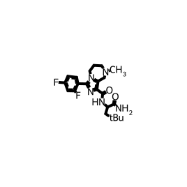 CN1CCCn2c(-c3ccc(F)cc3F)nc(C(=O)NC(CC(C)(C)C)C(N)=O)c2C1